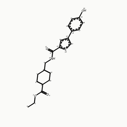 CCOC(=O)C1CCC(CNC(=O)c2cc(-c3ccc(O)cc3)cs2)CC1